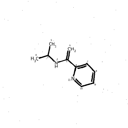 C=C(NC(C)C)c1ccccn1